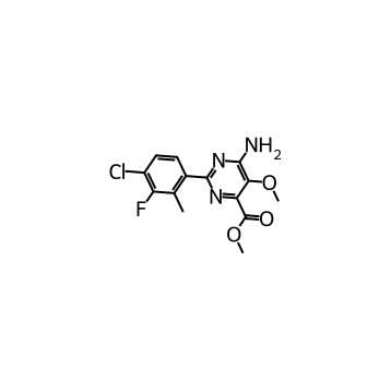 COC(=O)c1nc(-c2ccc(Cl)c(F)c2C)nc(N)c1OC